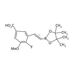 COc1cc(C(=O)O)cc(/C=C/B2OC(C)(C)C(C)(C)O2)c1F